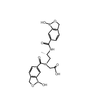 C[C@@H](CN(CC(=O)O)C(=O)c1ccc2c(c1)B(O)OC2)NC(=O)c1ccc2c(c1)B(O)OC2